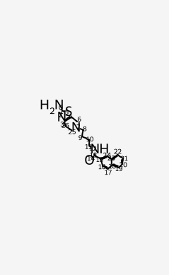 Nc1nc2c(s1)CN(CCCCNC(=O)c1ccc3ccccc3c1)CC2